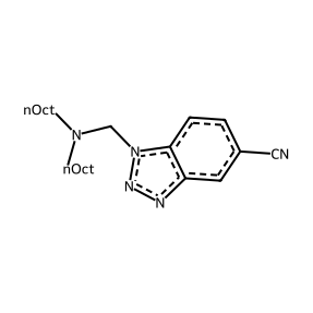 CCCCCCCCN(CCCCCCCC)Cn1nnc2cc(C#N)ccc21